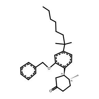 CCCCCCC(C)(C)c1ccc([C@@H]2CC(=O)CC[C@H]2C)c(OCc2ccccc2)c1